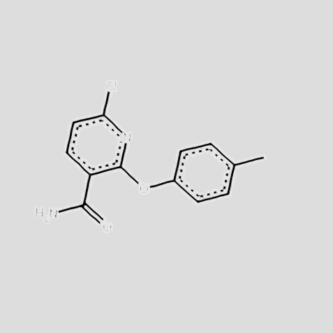 Cc1ccc(Oc2nc(Cl)ccc2C(N)=O)cc1